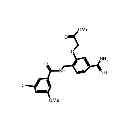 COC(=O)COc1cc(C(=N)N)ccc1CNC(=O)c1cc(Cl)cc(OC)c1